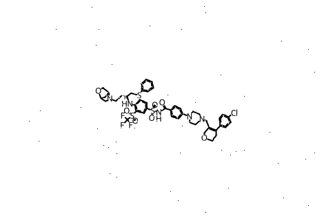 O=C(NS(=O)(=O)c1ccc(N[C@H](CCN2CC3CC2CO3)CSc2ccccc2)c(S(=O)(=O)C(F)(F)F)c1)c1ccc(N2CCN(CC3=C(c4ccc(Cl)cc4)CCOC3)CC2)cc1